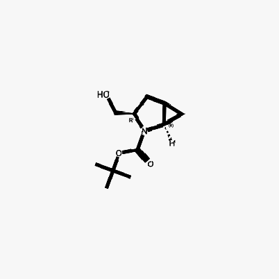 CC(C)(C)OC(=O)N1[C@@H](CO)CC2C[C@H]21